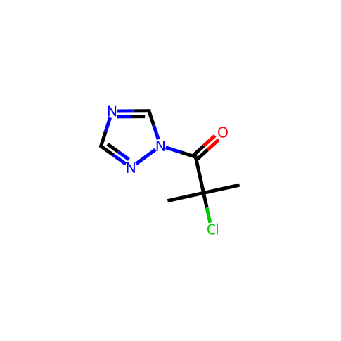 CC(C)(Cl)C(=O)n1cncn1